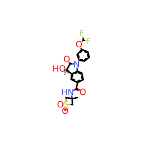 CC1(NC(=O)c2ccc3c(c2)[C@@](C)(O)C(=O)N3c2cccc(OC(F)F)c2)CS(=O)(=O)C1